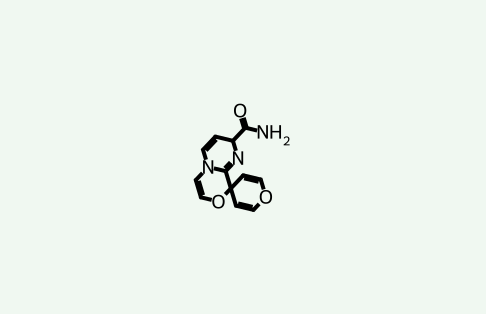 NC(=O)C1C=CN2C=COC3(C=COC=C3)C2=N1